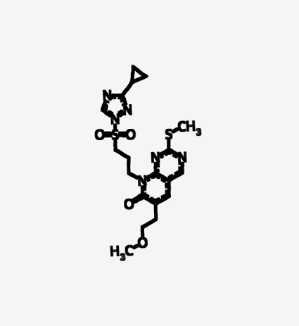 COCCc1cc2cnc(SC)nc2n(CCCS(=O)(=O)n2cnc(C3CC3)n2)c1=O